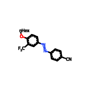 CCCCCCOc1ccc(/N=N/c2ccc(C#N)cc2)cc1C(F)(F)F